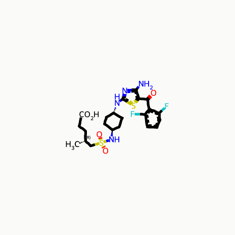 C[C@H](CCC(=O)O)CS(=O)(=O)N[C@H]1CC[C@H](Nc2nc(N)c(C(=O)c3c(F)cccc3F)s2)CC1